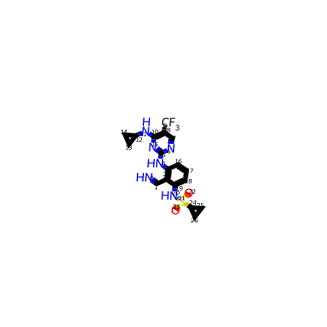 N=Cc1c(Nc2ncc(C(F)(F)F)c(NC3CC3)n2)cccc1NS(=O)(=O)C1CC1